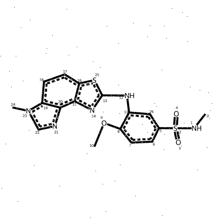 CNS(=O)(=O)c1ccc(OC)c(Nc2nc3c(ccc4c3ncn4C)s2)c1